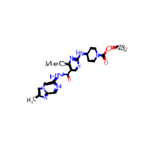 COc1nc(NC2CCN(C(=O)OC(C)(C)C)CC2)ncc1C(=O)Nc1cn2cc(C)nc2cn1